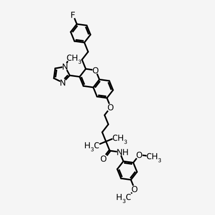 COc1ccc(NC(=O)C(C)(C)CCCOc2ccc3c(c2)C=C(c2nccn2C)C(CCc2ccc(F)cc2)O3)c(OC)c1